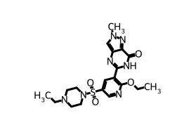 CCOc1ncc(S(=O)(=O)N2CCN(CC)CC2)cc1-c1nc2cn(C)nc2c(=O)[nH]1